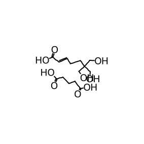 O=C(O)C=CCCC(CO)(CO)CO.O=C(O)CCCC(=O)O